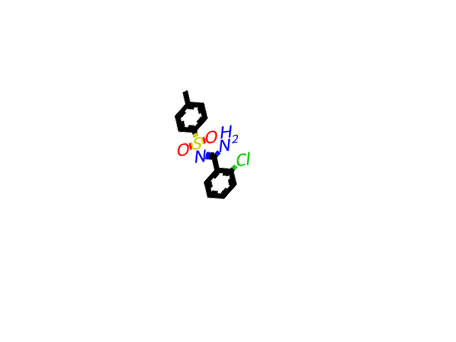 Cc1ccc(S(=O)(=O)N=C(N)c2ccccc2Cl)cc1